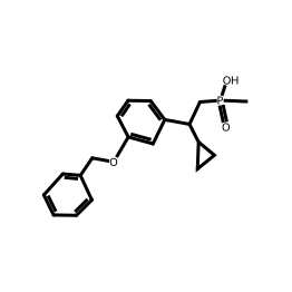 CP(=O)(O)CC(c1cccc(OCc2ccccc2)c1)C1CC1